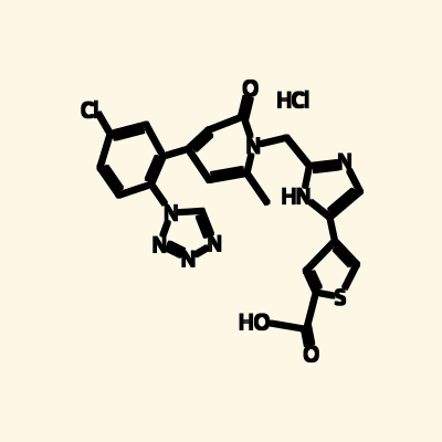 Cc1cc(-c2cc(Cl)ccc2-n2cnnn2)cc(=O)n1Cc1ncc(-c2csc(C(=O)O)c2)[nH]1.Cl